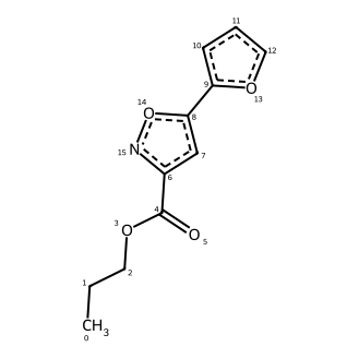 CCCOC(=O)c1cc(-c2ccco2)on1